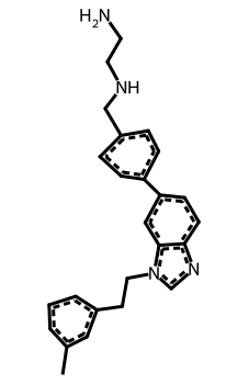 Cc1cccc(CCn2cnc3ccc(-c4ccc(CNCCN)cc4)cc32)c1